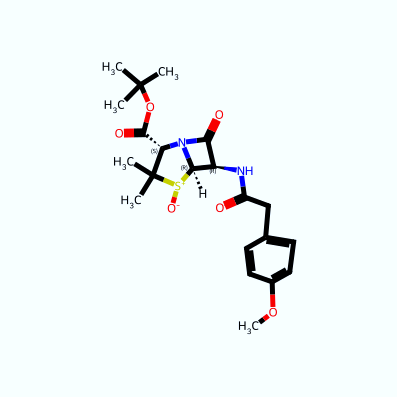 COc1ccc(CC(=O)N[C@@H]2C(=O)N3[C@@H]2[S+]([O-])C(C)(C)[C@@H]3C(=O)OC(C)(C)C)cc1